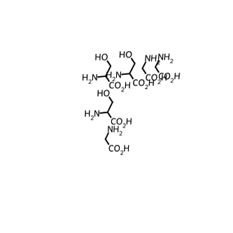 NC(CO)C(=O)O.NC(CO)C(=O)O.NC(CO)C(=O)O.NCC(=O)O.NCC(=O)O.NCC(=O)O